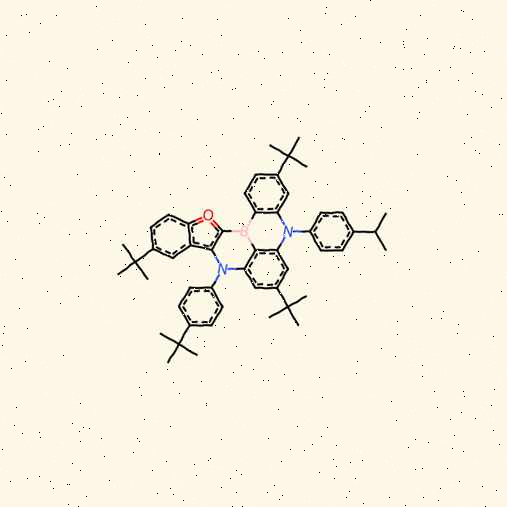 CC(C)c1ccc(N2c3cc(C(C)(C)C)ccc3B3c4oc5ccc(C(C)(C)C)cc5c4N(c4ccc(C(C)(C)C)cc4)c4cc(C(C)(C)C)cc2c43)cc1